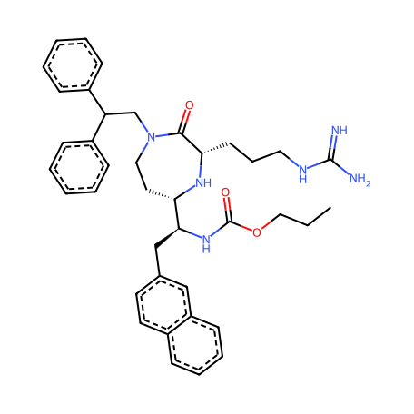 CCCOC(=O)N[C@@H](Cc1ccc2ccccc2c1)[C@@H]1CCN(CC(c2ccccc2)c2ccccc2)C(=O)[C@H](CCCNC(=N)N)N1